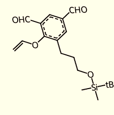 C=COc1c(C=O)cc(C=O)cc1CCCO[Si](C)(C)C(C)(C)C